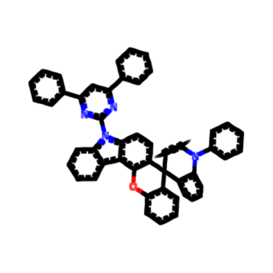 c1ccc(-c2cc(-c3ccccc3)nc(-n3c4ccccc4c4c5c(ccc43)C3(c4ccccc4O5)c4ccccc4N(c4ccccc4)c4ccccc43)n2)cc1